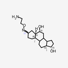 C[C@]12CCC3C(C[C@H](O)[C@H]4C/C(=N\OCCN)CC[C@]34C)C1CC[C@@H]2O